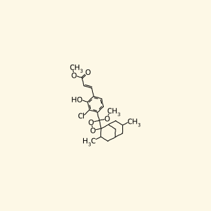 COC(=O)/C=C/c1ccc(C2(OC)OOC23C(C)CC2CC(C)CC3C2)c(Cl)c1O